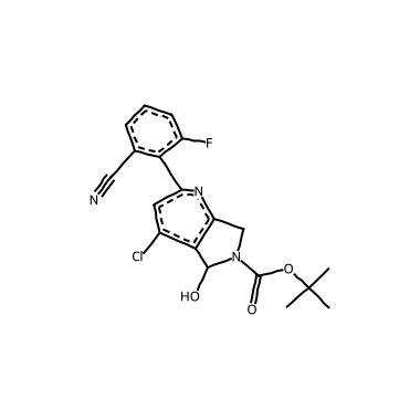 CC(C)(C)OC(=O)N1Cc2nc(-c3c(F)cccc3C#N)cc(Cl)c2C1O